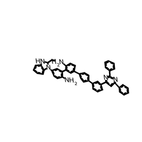 CCC1Nc2ccccc2N1c1ccc(N)c(-c2cc(-c3ccc(-c4cccc(-c5cc(-c6ccccc6)nc(-c6ccccc6)n5)c4)cc3)ccc2N)c1